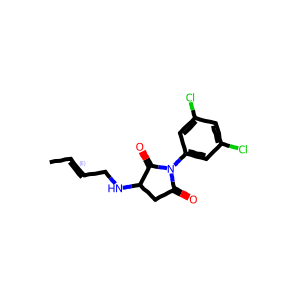 C/C=C/CNC1CC(=O)N(c2cc(Cl)cc(Cl)c2)C1=O